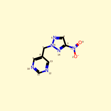 O=[N+]([O-])c1cnn(Cc2cncnc2)n1